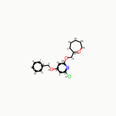 Clc1cc(OCc2ccccc2)cc(OCC2CCCCCO2)n1